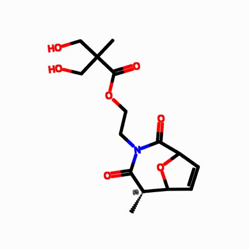 C[C@@H]1C(=O)N(CCOC(=O)C(C)(CO)CO)C(=O)C2C=CC1O2